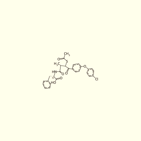 CC(=O)SC(C(=O)c1ccc(Oc2ccc(Cl)cc2)cc1)C(C)C(=O)N[C@@H](Cc1ccccc1)C(=O)O